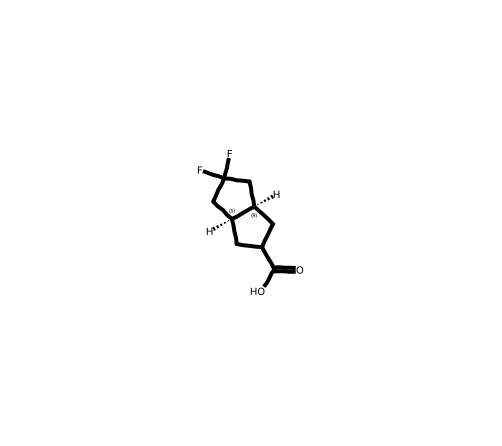 O=C(O)C1C[C@@H]2CC(F)(F)C[C@@H]2C1